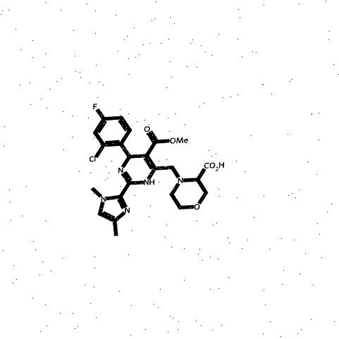 COC(=O)C1=C(CN2CCOCC2C(=O)O)NC(c2nc(C)cn2C)=NC1c1ccc(F)cc1Cl